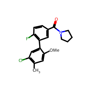 COc1cc(C)c(Cl)cc1-c1cc(C(=O)N2CCCC2)ccc1F